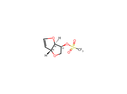 O=S(=O)(O[C@H]1CO[C@@H]2C=CO[C@@H]12)C(F)(F)F